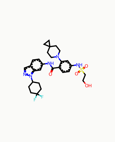 O=C(Nc1ccc2cnn(C3CCC(F)(F)CC3)c2c1)c1ccc(NS(=O)(=O)CCO)cc1N1CCC2(CC1)CC2